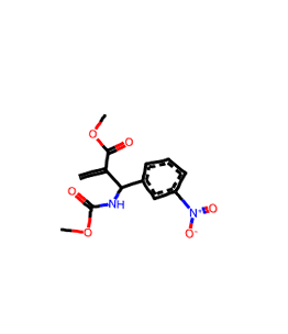 C=C(C(=O)OC)C(NC(=O)OC)c1cccc([N+](=O)[O-])c1